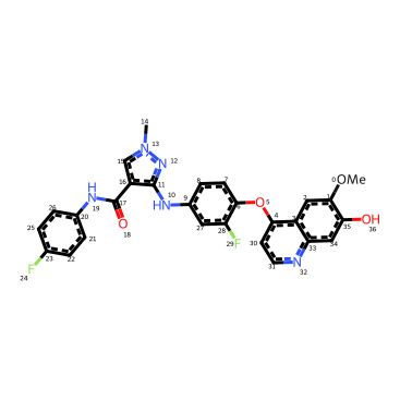 COc1cc2c(Oc3ccc(Nc4nn(C)cc4C(=O)Nc4ccc(F)cc4)cc3F)ccnc2cc1O